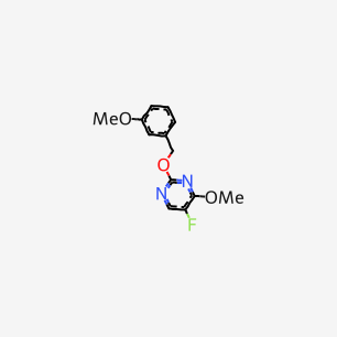 COc1cccc(COc2ncc(F)c(OC)n2)c1